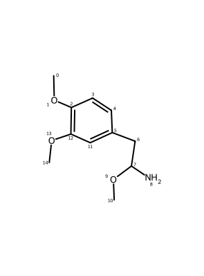 COc1ccc(CC(N)OC)cc1OC